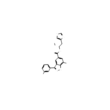 O=C(N[C@H](CO)Cc1c[nH]cn1)c1cc(F)c2[nH]nc(-c3cccc(F)c3)c2c1